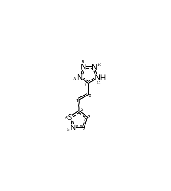 C(=C\c1ccns1)/c1nnn[nH]1